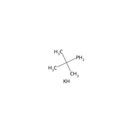 CC(C)(C)P.[KH]